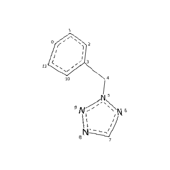 c1ccc(Cn2ncnn2)cc1